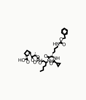 CCCCC(CO[PH](=O)O[C@@H](C)C(=O)N1CCC[C@H]1C(=O)O)NC(=O)[C@H](CCCCNC(=O)OCc1ccccc1)NC(=O)C1CC1